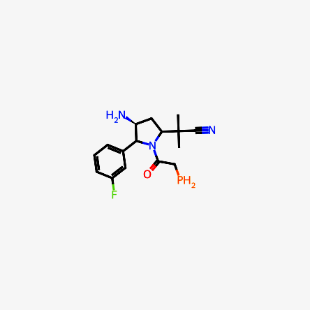 CC(C)(C#N)C1C[C@H](N)C(c2cccc(F)c2)N1C(=O)CP